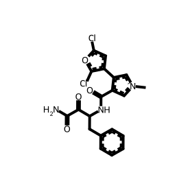 Cn1cc(C(=O)NC(Cc2ccccc2)C(=O)C(N)=O)c(-c2cc(Cl)oc2Cl)c1